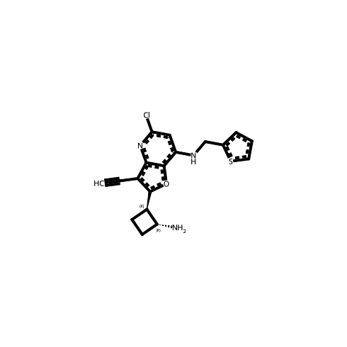 C#Cc1c([C@@H]2CC[C@H]2N)oc2c(NCc3cccs3)cc(Cl)nc12